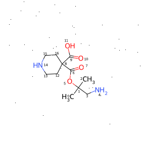 CC(C)(CN)OC(=O)C1(C(=O)O)CCNCC1